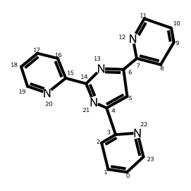 c1ccc(-c2cc(-c3ccccn3)nc(-c3ccccn3)n2)nc1